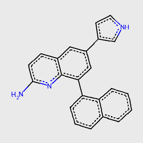 Nc1ccc2cc(-c3cc[nH]c3)cc(-c3cccc4ccccc34)c2n1